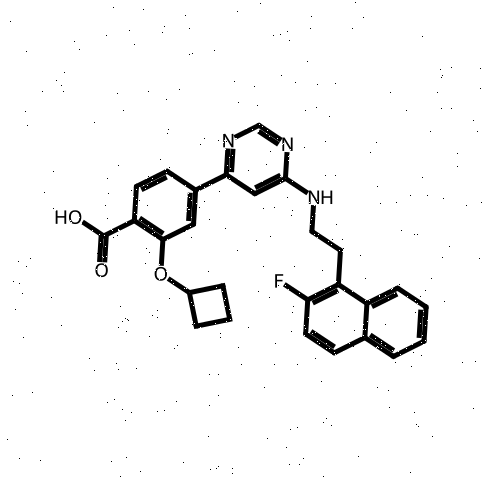 O=C(O)c1ccc(-c2cc(NCCc3c(F)ccc4ccccc34)ncn2)cc1OC1CCC1